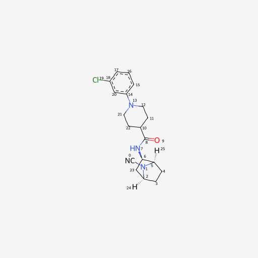 N#CN1[C@H]2CC[C@@H]1[C@H](NC(=O)C1CCN(c3cccc(Cl)c3)CC1)C2